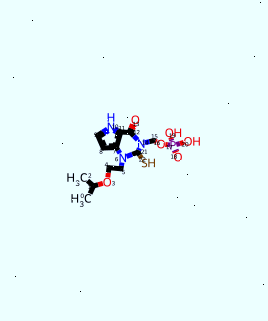 CC(C)OCCN1c2cc[nH]c2C(=O)N(COP(=O)(O)O)C1S